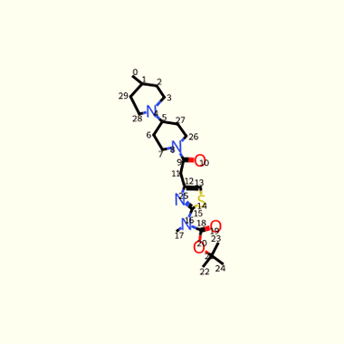 CC1CCN(C2CCN(C(=O)Cc3csc(N(C)C(=O)OC(C)(C)C)n3)CC2)CC1